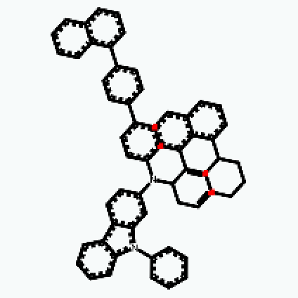 C1=CCC(N(c2ccc(-c3ccc(-c4cccc5ccccc45)cc3)cc2)c2ccc3c4ccccc4n(-c4ccccc4)c3c2)C(c2cccc3cccc(C4CCCCC4)c23)=C1